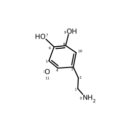 NCCc1ccc(O)c(O)c1.[O]